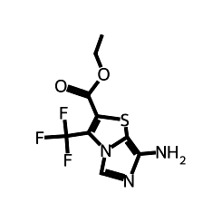 CCOC(=O)c1sc2c(N)ncn2c1C(F)(F)F